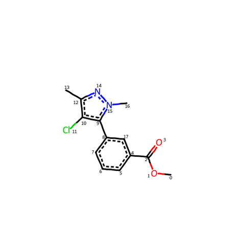 COC(=O)c1cccc(-c2c(Cl)c(C)nn2C)c1